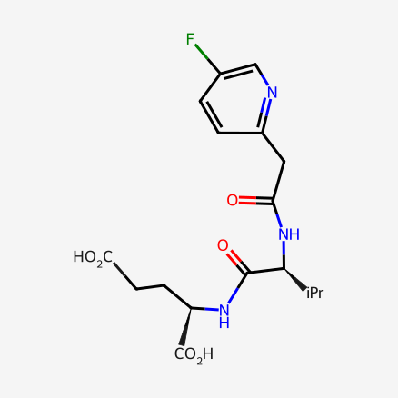 CC(C)[C@H](NC(=O)Cc1ccc(F)cn1)C(=O)N[C@H](CCC(=O)O)C(=O)O